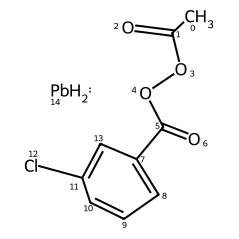 CC(=O)OOC(=O)c1cccc(Cl)c1.[PbH2]